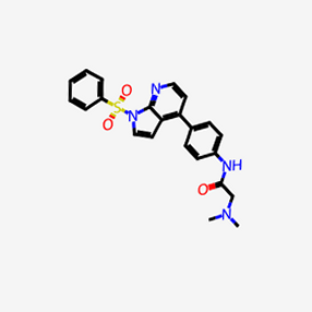 CN(C)CC(=O)Nc1ccc(-c2ccnc3c2ccn3S(=O)(=O)c2ccccc2)cc1